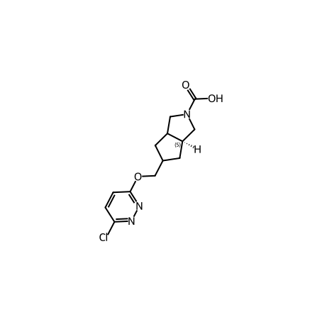 O=C(O)N1CC2CC(COc3ccc(Cl)nn3)C[C@@H]2C1